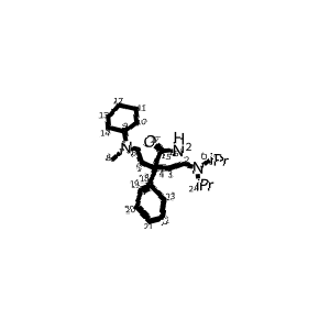 CC(C)N(CCC(CCN(C)C1CCCCC1)(C(N)=O)c1ccccc1)C(C)C